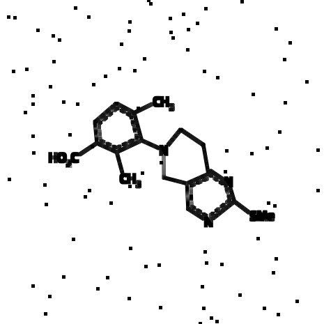 CSc1ncc2c(n1)CCN(c1c(C)ccc(C(=O)O)c1C)C2